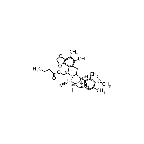 CCCC(=O)OC[C@H]1c2c(c(O)c(C)c3c2OCO3)CC2[C@H]3c4c(cc(C)c(OC)c4C)C[C@@H]([C@H](C#N)N21)N3C